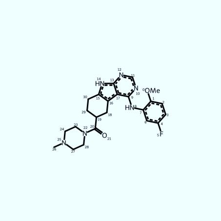 COc1ccc(F)cc1Nc1ncnc2[nH]c3c(c12)CC(C(=O)N1CCN(C)CC1)CC3